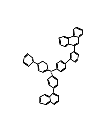 C1=C(c2ccccc2)CCC(N(c2ccc(-c3cccc(-c4cc5ccccc5c5ccccc45)c3)cc2)c2ccc(-c3cccc4ccccc34)cc2)=C1